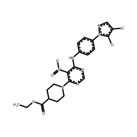 CCOC(=O)C1CCN(c2ncnc(Nc3ccc(-n4ncc(Cl)c4Cl)cc3)c2[N+](=O)[O-])CC1